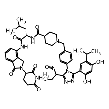 CCC(N=O)c1nnc(-c2cc(C(C)C)c(O)cc2O)n1-c1ccc(CN2CCC(C(=O)N[C@@H](CC(C)C)C(=O)Nc3cccc4c3CN(C3CCC(=O)NC3=O)C4=O)CC2)cc1